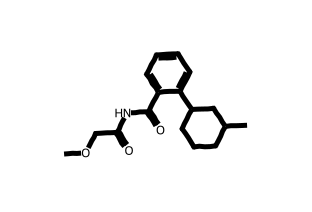 COCC(=O)NC(=O)c1ccccc1C1CCCC(C)C1